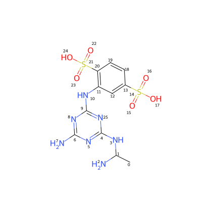 CC(N)Nc1nc(N)nc(Nc2cc(S(=O)(=O)O)ccc2S(=O)(=O)O)n1